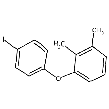 Cc1cccc(Oc2ccc(I)cc2)c1C